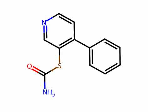 NC(=O)Sc1cnccc1-c1ccccc1